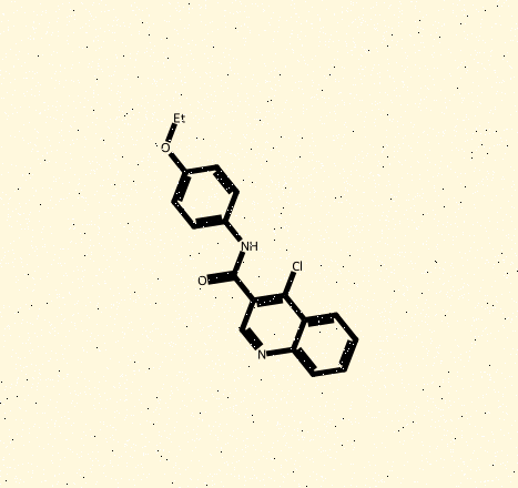 CCOc1ccc(NC(=O)c2cnc3ccccc3c2Cl)cc1